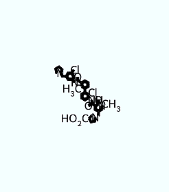 Cc1c(-c2nc3cc(CN4CCCC4)cc(Cl)c3o2)cccc1-c1cccc(NC(=O)c2cc(CN3CCC(C(=O)O)C3)cn(C)c2=O)c1Cl